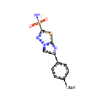 COc1ccc(-c2cn3nc(S(N)(=O)=O)sc3n2)cc1